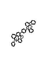 c1ccc(N(c2ccc(-c3cccc4c3oc3cccc(N(c5ccccc5)c5ccccc5)c34)cc2)c2cccc3c2sc2ccccc23)cc1